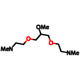 CNCCOCC(COCCNC)OC